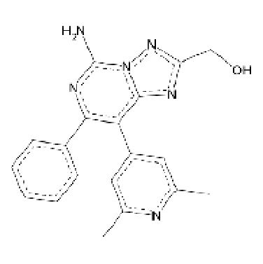 Cc1cc(-c2c(-c3ccccc3)nc(N)n3nc(CO)nc23)cc(C)n1